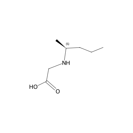 CCC[C@H](C)NCC(=O)O